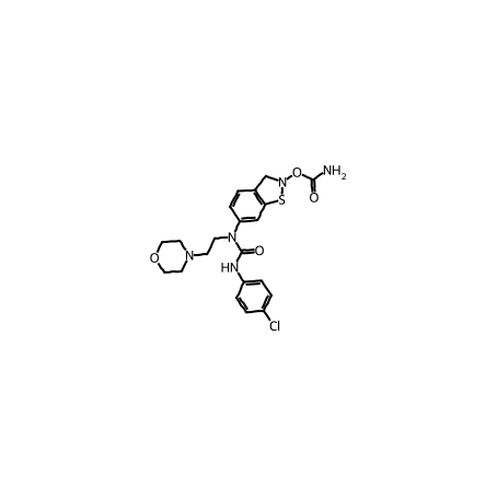 NC(=O)ON1Cc2ccc(N(CCN3CCOCC3)C(=O)Nc3ccc(Cl)cc3)cc2S1